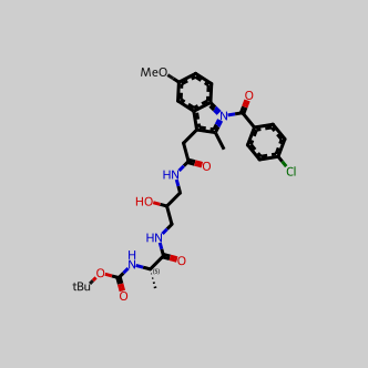 COc1ccc2c(c1)c(CC(=O)NCC(O)CNC(=O)[C@H](C)NC(=O)OC(C)(C)C)c(C)n2C(=O)c1ccc(Cl)cc1